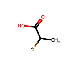 CC([S])C(=O)O